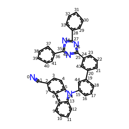 N#Cc1ccc2c(c1)c1ccccc1n2-c1cccc(-c2cccc(-c3nc(-c4ccccc4)nc(-c4ccccc4)n3)c2)c1